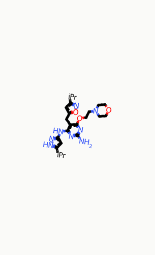 CC(C)c1cc(Cc2c(Nc3cc(C(C)C)[nH]n3)nc(N)nc2OCCN2CCOCC2)on1